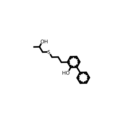 CC(O)CSCCCc1cccc(-c2ccccc2)c1O